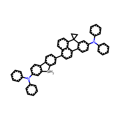 c1ccc(N(c2ccccc2)c2ccc3c(c2)[SiH2]c2cc(-c4ccc5c6c(cccc46)C4(CC4)c4cc(N(c6ccccc6)c6ccccc6)ccc4-5)ccc2-3)cc1